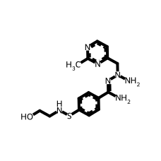 Cc1nccc(CN(N)/N=C(\N)c2ccc(SNCCO)cc2)n1